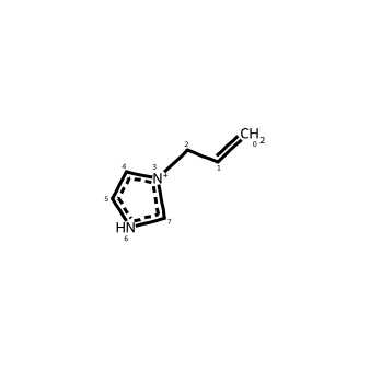 C=CC[n+]1cc[nH]c1